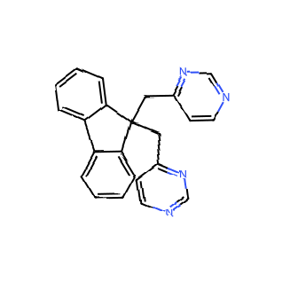 c1ccc2c(c1)-c1ccccc1C2(Cc1ccncn1)Cc1ccncn1